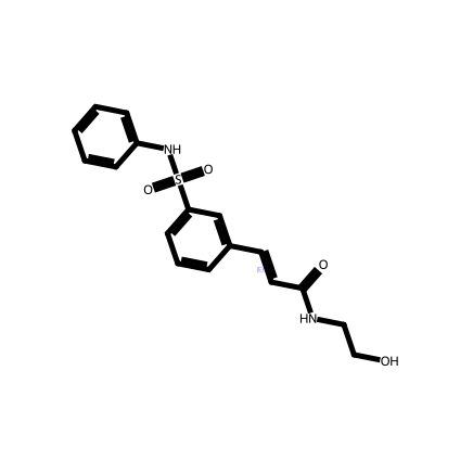 O=C(/C=C/c1cccc(S(=O)(=O)Nc2ccccc2)c1)NCCO